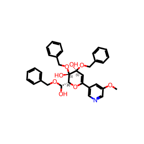 COc1cncc(C2=C[C@](O)(OCc3ccccc3)[C@@](O)(OCc3ccccc3)[C@@H](C(O)OCc3ccccc3)O2)c1